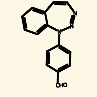 O=Cc1ccc(N2N=NC=Cc3ccccc32)cc1